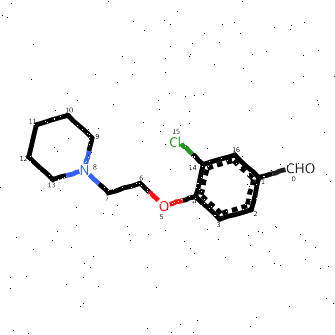 O=Cc1ccc(OCCN2CCCCC2)c(Cl)c1